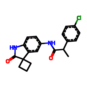 CC(C(=O)Nc1ccc2c(c1)C1(CCC1)C(=O)N2)c1ccc(Cl)cc1